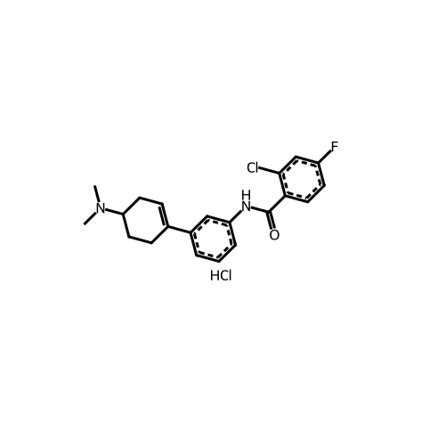 CN(C)C1CC=C(c2cccc(NC(=O)c3ccc(F)cc3Cl)c2)CC1.Cl